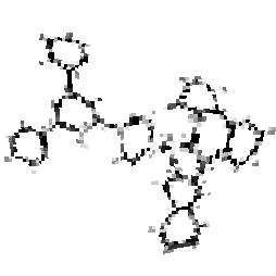 c1ccc(-c2cc(-c3ccccc3)nc(-c3ccc(-n4c5cc6ccccc6cc5c5c6ccccc6c6ccccc6c54)cc3)c2)cc1